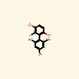 CC(C)c1cc(C(C)C)c(-c2c(O)ccc(O)c2I)c(C(C)C)c1